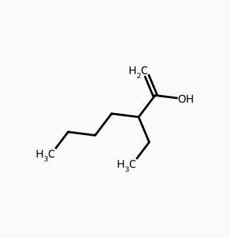 C=C(O)C(CC)CCCC